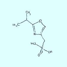 CC(C)c1nc(CP(=O)(O)O)co1